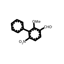 COc1c([C]=O)ccc([N+](=O)[O-])c1-c1ccccc1